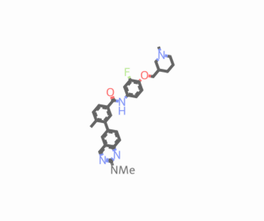 CNc1ncc2cc(-c3cc(C(=O)Nc4ccc(OCC5CCCN(C)C5)c(F)c4)ccc3C)ccc2n1